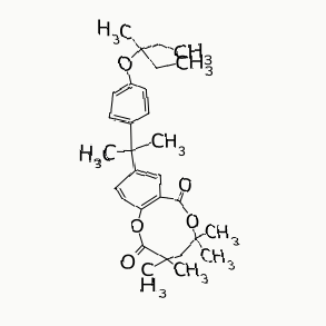 CCC(C)(CC)Oc1ccc(C(C)(C)c2ccc3c(c2)C(=O)OC(C)(C)CC(C)(C)C(=O)O3)cc1